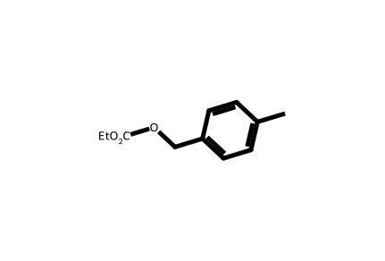 CCOC(=O)OCc1ccc(C)cc1